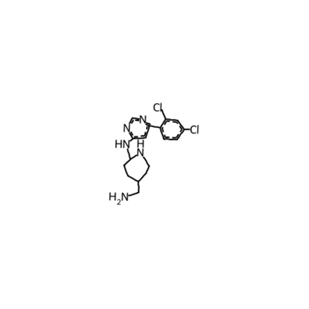 NCC1CCNC(Nc2cc(-c3ccc(Cl)cc3Cl)ncn2)CC1